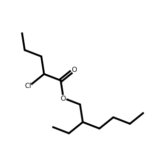 CCCCC(CC)COC(=O)C(Cl)CCC